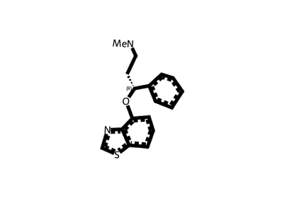 CNCC[C@@H](Oc1cccc2scnc12)c1ccccc1